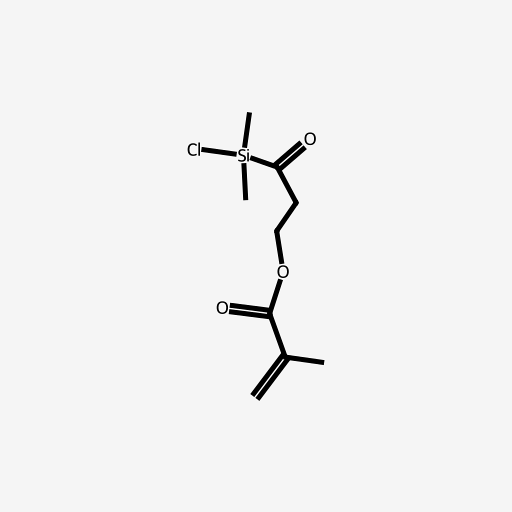 C=C(C)C(=O)OCCC(=O)[Si](C)(C)Cl